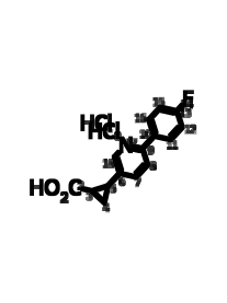 Cl.Cl.O=C(O)C1CC1c1ccc(-c2ccc(F)cc2)nc1